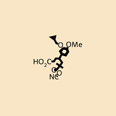 COc1ccc(C(CCC(=O)O)CC(C)(C)C(=O)OC#N)cc1OCC1CC1